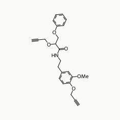 C#CCOc1ccc(CCNC(=O)C(COc2ccccc2)OCC#C)cc1OC